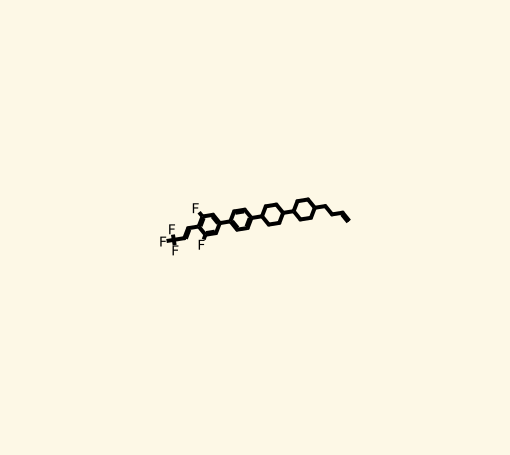 C=CCCC1CCC(C2CCC(c3ccc(-c4cc(F)c(/C=C/C(F)(F)F)c(F)c4)cc3)CC2)CC1